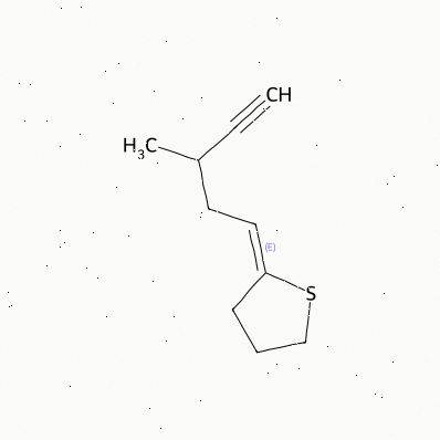 C#CC(C)C/C=C1\CCCS1